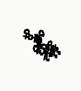 Bc1c(B)c(B)c(-n2c3ccccc3c3cc4c(cc32)c2ccccc2n4-c2nc(-c3ccccc3)nc(-c3ccc4c(c3)-c3ccccc3C4(C)C)n2)c(B)c1B